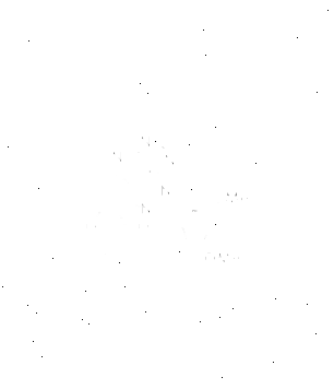 COc1ccc(CNc2ncnc3c2c2c(n3C3CCC3)CCC(=O)c3c-2noc3C2CC2)c(OC)c1